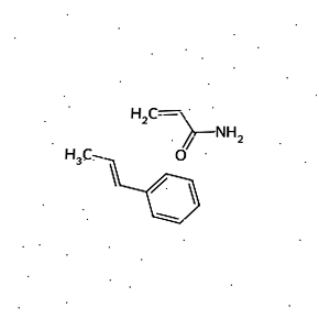 C=CC(N)=O.CC=Cc1ccccc1